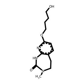 CN1CCc2ccc(OCCCCO)nc2NC1=O